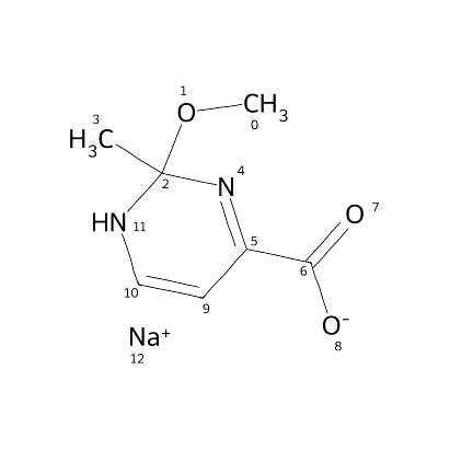 COC1(C)N=C(C(=O)[O-])C=CN1.[Na+]